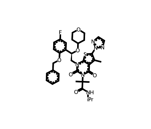 Cc1c(-n2nccn2)sc2c1c(=O)n(C(C)(C)C(=O)NC(C)C)c(=O)n2C[C@H](OC1CCOCC1)c1cc(F)ccc1OCc1ccccc1